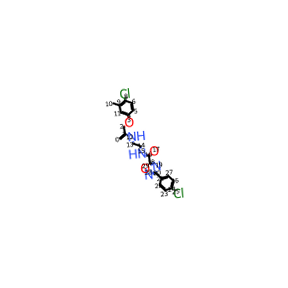 C=C(COc1ccc(Cl)c(C)c1)NCCNC(=O)c1nc(-c2ccc(Cl)cc2)no1